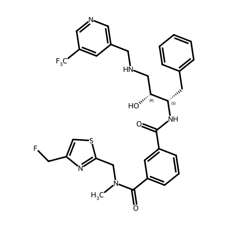 CN(Cc1nc(CF)cs1)C(=O)c1cccc(C(=O)N[C@@H](Cc2ccccc2)[C@H](O)CNCc2cncc(C(F)(F)F)c2)c1